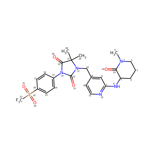 CN1CCCC(Nc2cc(CN3C(=O)N(c4ccc(S(=O)(=O)C(F)(F)F)cc4)C(=O)C3(C)C)ccn2)C1=O